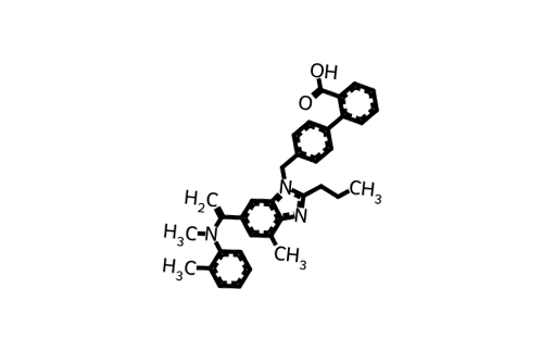 C=C(c1cc(C)c2nc(CCC)n(Cc3ccc(-c4ccccc4C(=O)O)cc3)c2c1)N(C)c1ccccc1C